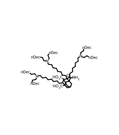 CCCCCCCCCCCCN(CCCCCCCCCCCC)CCCCCCCCC1C2(C(=O)O)CC3CC(C(N)=O)(C2)C(CCCCCCCCN(CCCCCCCCCCCC)CCCCCCCCCCCC)(CCCCCCCCN(CCCCCCCCCCCC)CCCCCCCCCCCC)C1(C(=O)O)C3